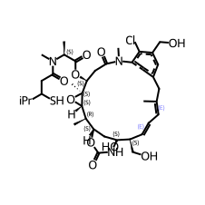 C/C1=C\C=C\[C@@H](CO)[C@@]2(O)C[C@H](OC(=O)N2)[C@@H](C)[C@@H]2O[C@@]2(C)[C@@H](OC(=O)[C@H](C)N(C)C(=O)CC(S)C(C)C)CC(=O)N(C)c2cc(cc(CO)c2Cl)C1